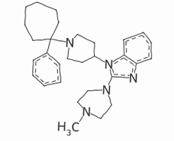 CN1CCN(c2nc3ccccc3n2C2CCN(C3(c4ccccc4)CCCCCC3)CC2)CC1